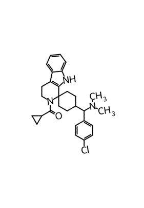 CN(C)C(c1ccc(Cl)cc1)C1CCC2(CC1)c1[nH]c3ccccc3c1CCN2C(=O)C1CC1